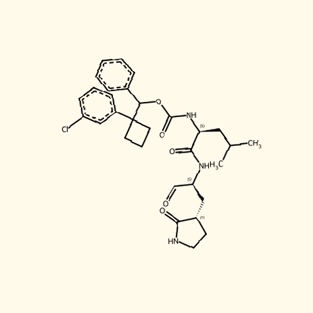 CC(C)C[C@H](NC(=O)OC(c1ccccc1)C1(c2cccc(Cl)c2)CCC1)C(=O)N[C@H](C=O)C[C@@H]1CCNC1=O